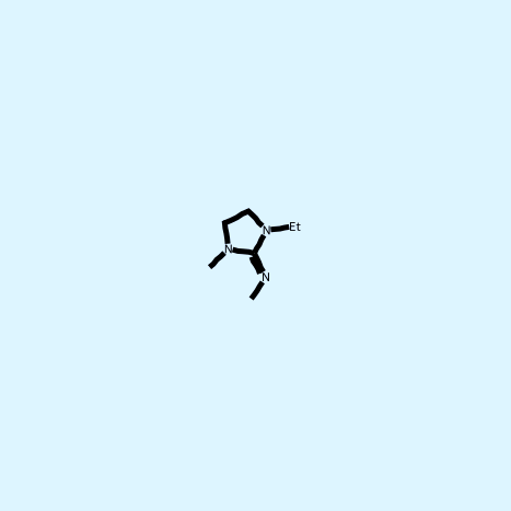 CCN1CCN(C)/C1=N\C